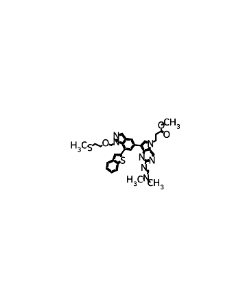 COC(=O)CCn1cc(-c2cc(-c3cc4ccccc4s3)c3c(cnn3COCCSC)c2)c2nc(/N=C/N(C)C)ncc21